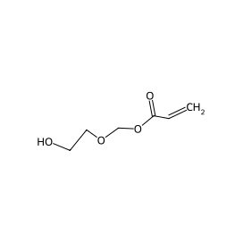 C=CC(=O)OCOCCO